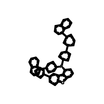 c1ccc(-c2ccc3oc4cccc(N(c5ccc(-c6cccc(-c7cccc8ccccc78)c6)cc5)c5ccc(-c6cccc7ccccc67)cc5)c4c3c2)cc1